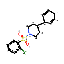 O=S(=O)(c1ccccc1Cl)N1CCC(C2C=CCC=C2)CC1